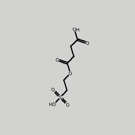 O=C(O)CCC(=O)OCCS(=O)(=O)O